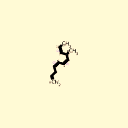 C=CC/C=C\C=C/C(C)/C=C\C